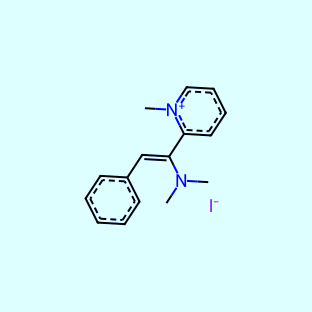 CN(C)C(=Cc1ccccc1)c1cccc[n+]1C.[I-]